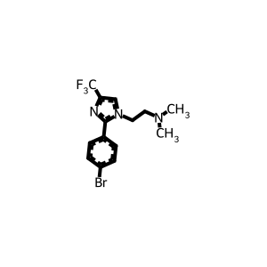 CN(C)CCn1cc(C(F)(F)F)nc1-c1ccc(Br)cc1